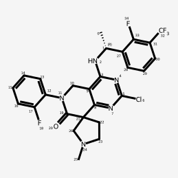 C[C@@H](Nc1nc(Cl)nc2c1CN(c1ccccc1F)C(=O)C21CCN(C)C1)c1cccc(C(F)(F)F)c1F